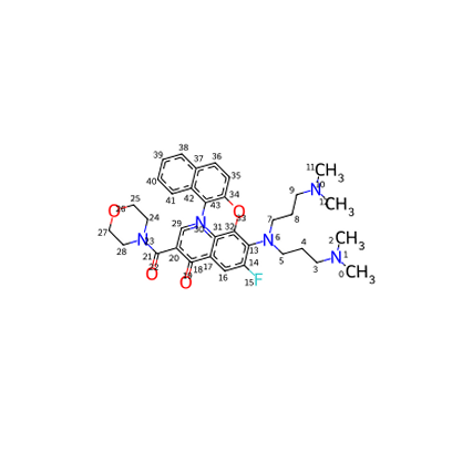 CN(C)CCCN(CCCN(C)C)c1c(F)cc2c(=O)c(C(=O)N3CCOCC3)cn3c2c1Oc1ccc2ccccc2c1-3